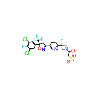 CS(=O)(=O)CC(=O)N1CC(F)(c2ccc(C3=NOC(c4cc(Cl)c(F)c(Cl)c4)(C(F)(F)F)C3)cn2)C1